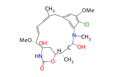 COc1cc2cc(c1Cl)N(C)C(O)C[C@H](C)[C@@H]1C[C@@](O)(NC(=O)O1)[C@H](OC)/C=C/C=C(\C)C2